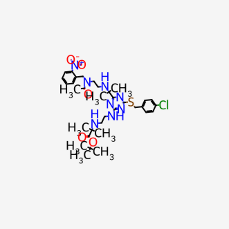 CC(=O)N(CCNC(C)(C)c1nc(NCCNC(C)(C)C(=O)OC(C)(C)C)nc(SCc2ccc(Cl)cc2)n1)Cc1ccccc1[N+](=O)[O-]